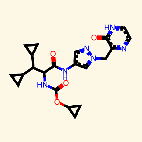 O=C(NC(C(=O)Nc1cnn(Cc2ncc[nH]c2=O)c1)C(C1CC1)C1CC1)OC1CC1